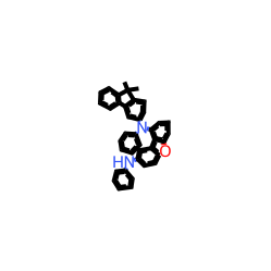 CC1(C)c2ccccc2-c2cc(N(c3ccccc3)c3cccc4oc5ccc(Nc6ccccc6)cc5c34)ccc21